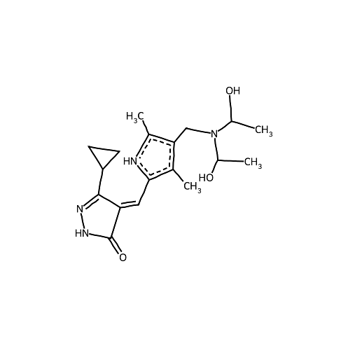 Cc1[nH]c(C=C2C(=O)NN=C2C2CC2)c(C)c1CN(C(C)O)C(C)O